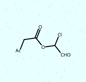 CC(=O)CC(=O)OC(Cl)C=O